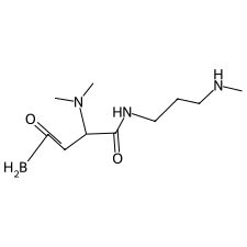 BC(=O)CC(C(=O)NCCCNC)N(C)C